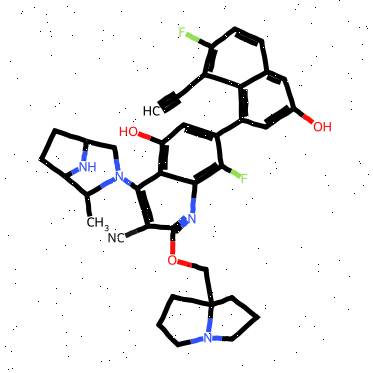 C#Cc1c(F)ccc2cc(O)cc(-c3cc(O)c4c(N5CC6CCC(N6)C5C)c(C#N)c(OCC56CCCN5CCC6)nc4c3F)c12